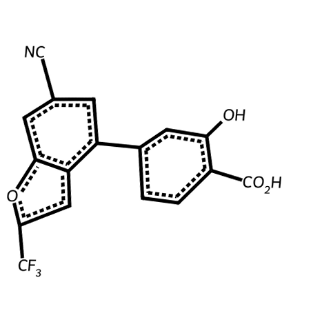 N#Cc1cc(-c2ccc(C(=O)O)c(O)c2)c2cc(C(F)(F)F)oc2c1